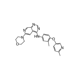 Cc1ccc(Oc2ccc(Nc3ncnc4cnc(N5CCOCC5)cc34)cc2C)cn1